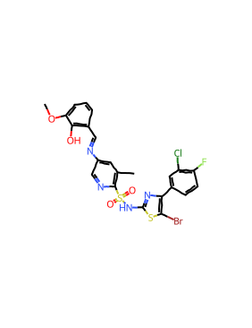 COc1cccc(/C=N/c2cnc(S(=O)(=O)Nc3nc(-c4ccc(F)c(Cl)c4)c(Br)s3)c(C)c2)c1O